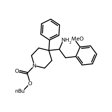 CCCCOC(=O)N1CCC(c2ccccc2)(C(N)Cc2ccccc2OC)CC1